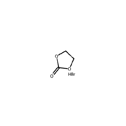 Br.O=C1OCCO1